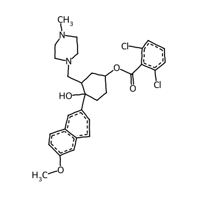 COc1ccc2cc(C3(O)CCC(OC(=O)c4c(Cl)cccc4Cl)CC3CN3CCN(C)CC3)ccc2c1